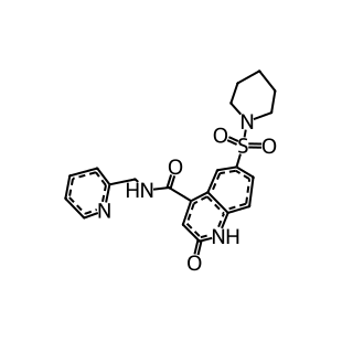 O=C(NCc1ccccn1)c1cc(=O)[nH]c2ccc(S(=O)(=O)N3CCCCC3)cc12